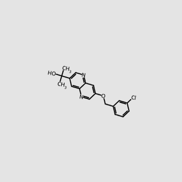 CC(C)(O)c1cnc2cc(OCc3cccc(Cl)c3)cnc2c1